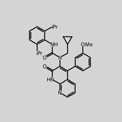 COc1cccc(-c2c(N(CC3CC3)C(=O)Nc3c(C(C)C)cccc3C(C)C)c(=O)[nH]c3ncccc23)c1